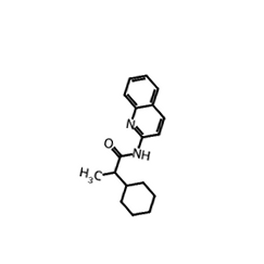 CC(C(=O)Nc1ccc2ccccc2n1)C1CCCCC1